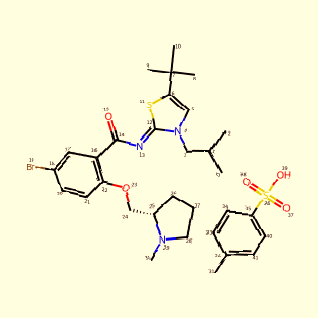 CC(C)Cn1cc(C(C)(C)C)sc1=NC(=O)c1cc(Br)ccc1OC[C@@H]1CCCN1C.Cc1ccc(S(=O)(=O)O)cc1